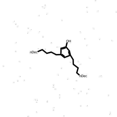 CCCCCCCCCCCCCCc1cc(O)cc(CCCCCCCCCCCCCC)c1